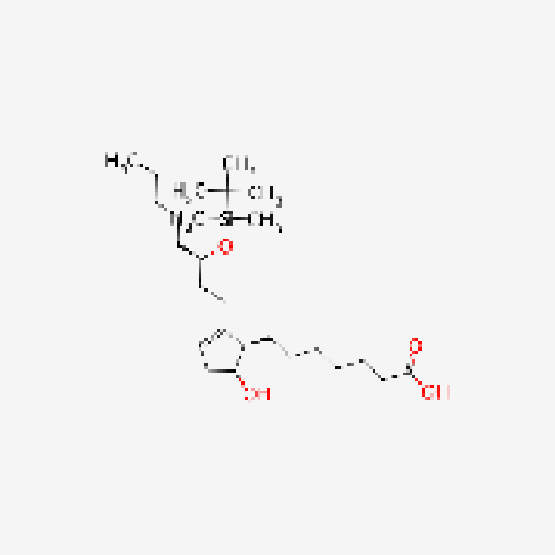 CCCCC[C@H](CCC1=CC[C@H](O)[C@@H]1CCCCCCC(=O)O)O[Si](C)(C)C(C)(C)C